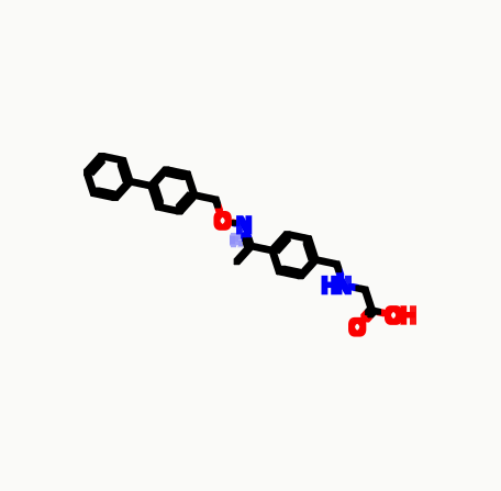 C/C(=N\OCc1ccc(-c2ccccc2)cc1)c1ccc(CNCC(=O)O)cc1